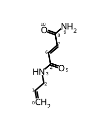 C=CCNC(=O)C=CC(N)=O